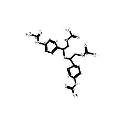 CC(=O)NCC(SC(CNC(C)=O)c1ccc(NC(C)=O)cc1)c1ccc(NC(C)=O)cc1